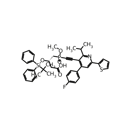 COP(=O)(C#Cc1c(-c2ccc(F)cc2)cc(-c2cccs2)nc1C(C)C)C[C@H](CC(=O)O)O[Si](c1ccccc1)(c1ccccc1)C(C)(C)C